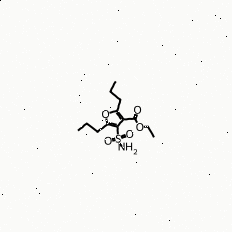 CCCc1oc(CCC)c(S(N)(=O)=O)c1C(=O)OCC